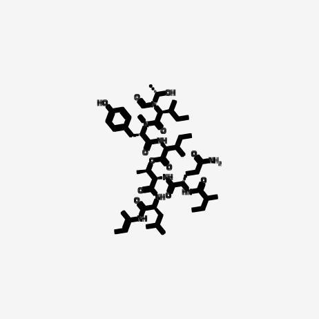 C/C=C(\C)NC(=O)[C@H](CC(C)C)NC(=O)[C@@H](NC(=O)[C@H](CCC(N)=O)NC(=O)C(C)CC)[C@@H](C)OC(=O)[C@@H](NC(=O)[C@H](Cc1ccc(O)cc1)N(C)C(=O)[C@H](C(C)CC)N(C=O)[C@H](C)O)C(C)CC